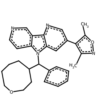 Cc1noc(C)c1-c1cnc2c3cnccc3n(C(c3ccccc3)C3CCCCOCC3)c2c1